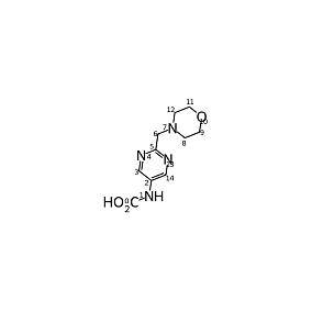 O=C(O)Nc1cnc(CN2CCOCC2)nc1